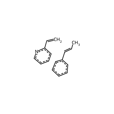 C=Cc1ccccn1.CC=Cc1ccccc1